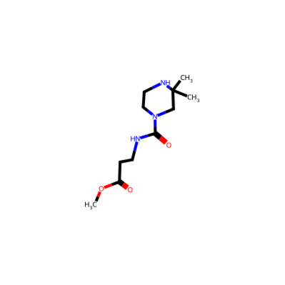 COC(=O)CCNC(=O)N1CCNC(C)(C)C1